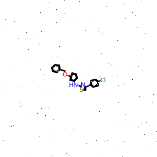 Clc1ccc(-c2csc(Nc3cccc(OCc4ccccc4)c3)n2)cc1